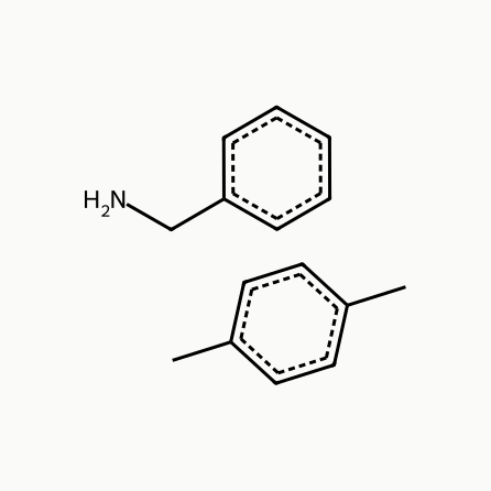 Cc1ccc(C)cc1.NCc1ccccc1